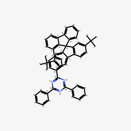 CC(C)(C)c1ccc2c(c1)C1(c3cc(C(C)(C)C)ccc3-2)c2ccccc2-c2cccc(-c3ccc(-c4nc(-c5ccccc5)nc(-c5ccccc5)n4)cc3)c21